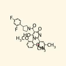 COc1cccc(OC)c1-n1c(-c2ccnc(C)c2)nc(=O)c(C(=O)N2CCC(c3ccc(F)cc3F)C2)c1O